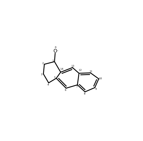 [O]C1CCCc2cc3ccccc3cc21